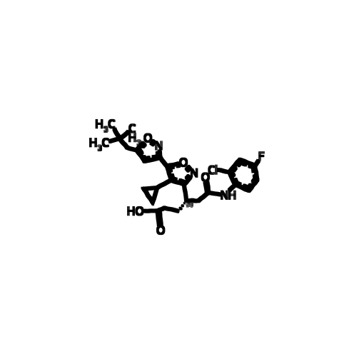 CC(C)(C)Cc1cc(-c2onc([C@@H](CCC(=O)O)CC(=O)Nc3ccc(F)cc3Cl)c2C2CC2)no1